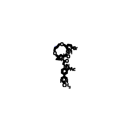 CC(=O)c1nn(CC(=O)N2C3CC34COC/C=C/COCc3ccc(Br)nc3NC(=O)[C@@H]2C4)c2ccc(-c3cnc(C)nc3)cc12